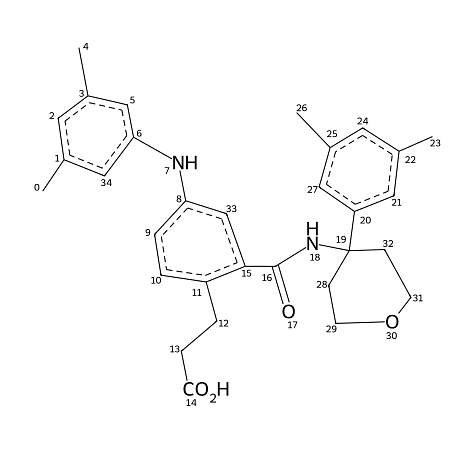 Cc1cc(C)cc(Nc2ccc(CCC(=O)O)c(C(=O)NC3(c4cc(C)cc(C)c4)CCOCC3)c2)c1